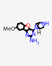 COc1ccc2oc3c(N4CC5C[C@H]4CN5)nc(N)nc3c2c1